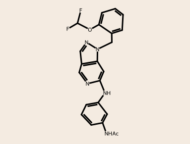 CC(=O)Nc1cccc(Nc2cc3c(cn2)cnn3Cc2ccccc2OC(F)F)c1